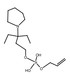 C=CCO[Si](O)(O)OCCC(CC)(CC)N1CCCCC1